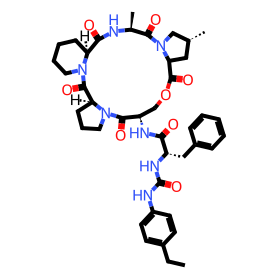 CCc1ccc(NC(=O)N[C@@H](Cc2ccccc2)C(=O)N[C@H]2COC(=O)C3C[C@@H](C)CN3C(=O)[C@H](C)NC(=O)[C@@H]3CCCCN3C(=O)[C@@H]3CCCN3C2=O)cc1